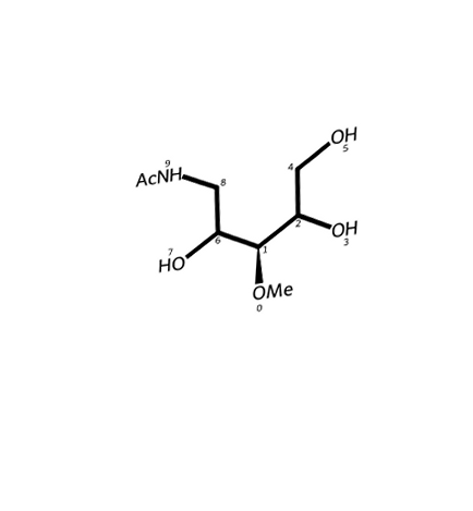 CO[C@H](C(O)CO)C(O)CNC(C)=O